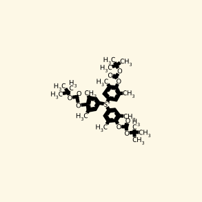 Cc1cc([S+](c2cc(C)c(OC(=O)OC(C)(C)C)c(C)c2)c2cc(C)c(OC(=O)OC(C)(C)C)c(C)c2)cc(C)c1OC(=O)OC(C)(C)C